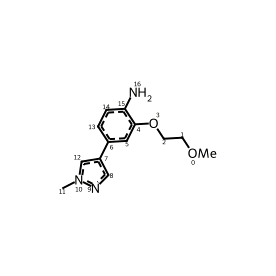 COCCOc1cc(-c2cnn(C)c2)ccc1N